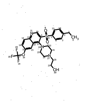 CCc1ccc(S(=O)(=O)c2cnc3ccc(OC(F)(F)F)cc3c2N2CCN(CCO)CC2)cc1